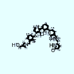 COc1nc(-c2cccc(-c3nccc(Nc4cccc(CN5CC(CO)C5)c4F)c3Cl)c2Cl)ccc1CNC[C@H]1CCC(=O)N1